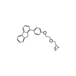 c1ccc2c(c1)Cc1c(-c3ccc(OCCOCC4CS4)cc3)cccc1-2